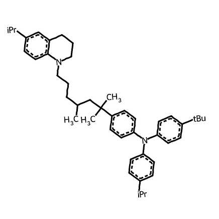 CC(CCCN1CCCc2cc(C(C)C)ccc21)CC(C)(C)c1ccc(N(c2ccc(C(C)C)cc2)c2ccc(C(C)(C)C)cc2)cc1